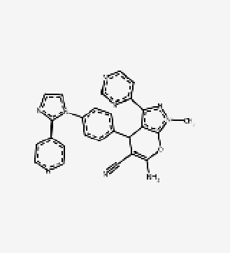 Cn1nc(-c2ccncn2)c2c1OC(N)=C(C#N)C2c1ccc(-n2ccnc2-c2ccncc2)cc1